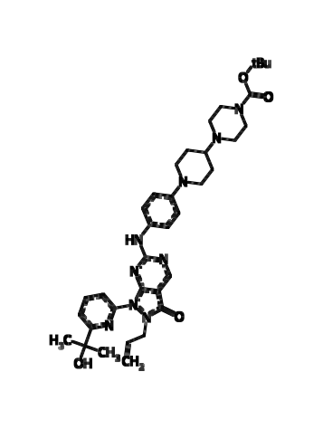 C=CCn1c(=O)c2cnc(Nc3ccc(N4CCC(N5CCN(C(=O)OC(C)(C)C)CC5)CC4)cc3)nc2n1-c1cccc(C(C)(C)O)n1